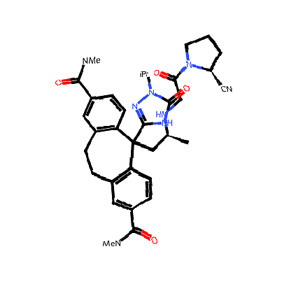 CNC(=O)c1ccc2c(c1)CCc1cc(C(=O)NC)ccc1C2(C[C@H](C)NCC(=O)N1CCC[C@H]1C#N)c1nn(C(C)C)c(=O)[nH]1